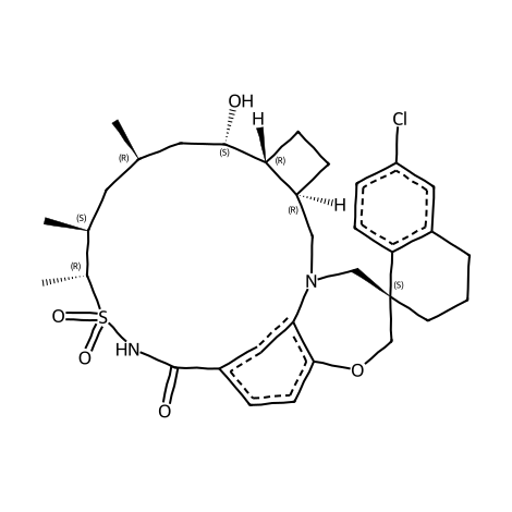 C[C@@H]1C[C@H](C)[C@@H](C)S(=O)(=O)NC(=O)c2ccc3c(c2)N(C[C@@H]2CC[C@H]2[C@@H](O)C1)C[C@@]1(CCCc2cc(Cl)ccc21)CO3